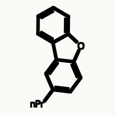 CCCc1ccc2oc3ccccc3c2c1